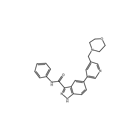 O=C(Nc1ccccc1)c1n[nH]c2ccc(-c3cncc(CN4CCOCC4)c3)cc12